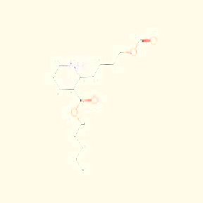 CCCCCOC(=O)C1CCCNC1CCCCO[C]=O